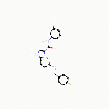 O=C(Nc1cccc(O)c1)c1cnc2ccc(NCc3ccc(F)cc3)nn12